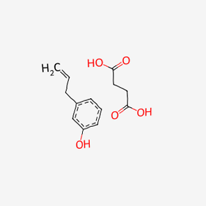 C=CCc1cccc(O)c1.O=C(O)CCC(=O)O